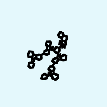 c1ccc(-n2c3ccccc3c3cc(-c4ccc5c(c4)c4ccccc4n5-c4cc(-c5ncc6ccc7ccccc7c6n5)cc(-n5c6ccccc6c6cc(-c7ccc8c(c7)c7ccccc7n8-c7ccccc7)ccc65)c4)ccc32)cc1